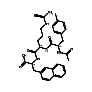 CC(=O)N[C@H](Cc1ccc(I)cc1)C(=O)N[C@H](CCCNC(=N)N)C(=O)N[C@@H](Cc1ccc2ccccc2c1)C(=O)O